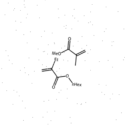 C=C(C)C(=O)OC.C=C(CC)C(=O)OCCCCCC